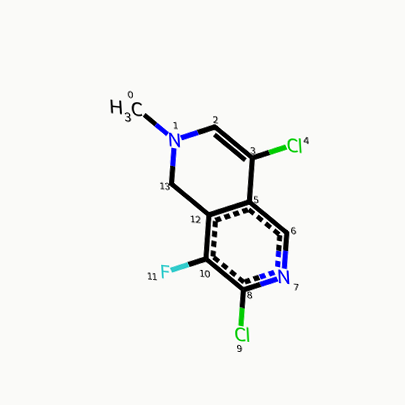 CN1C=C(Cl)c2cnc(Cl)c(F)c2C1